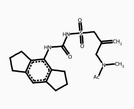 C=C(CN(C)C(C)=O)CS(=O)(=O)NC(=O)Nc1c2c(cc3c1CCC3)CCC2